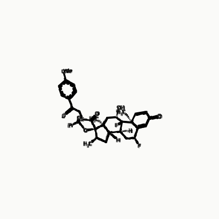 COc1ccc(C(=O)CSC(=O)[C@@]2(OC(=O)C(C)C)[C@H](C)C[C@H]3[C@@H]4C[C@H](F)C5=CC(=O)C=C[C@]5(C)[C@@]4(F)[C@@H](O)C[C@@]32C)cc1